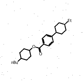 CCCCC1CCC(OC(=O)c2ccc(C3CCC(CC)CC3)cc2)CC1